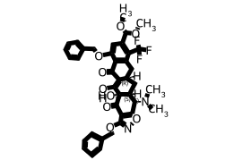 COC(OC)c1cc(OCc2ccccc2)c2c(c1C(F)(F)F)C[C@H]1C[C@H]3[C@H](N(C)C)c4onc(OCc5ccccc5)c4C(=O)[C@@]3(O)C(O)=C1C2=O